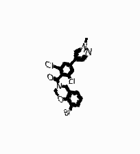 Cn1cc(-c2cc(Cl)c(C(=O)N3COc4c(Br)cccc4C3)c(Cl)c2)cn1